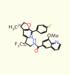 COc1cc(C(=O)NC[C@H](c2cc3c(c(-c4ccc(F)cc4)n2)OC[C@H]3C)C(F)(F)F)cc2cccnc12